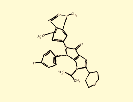 Cc1cc(N2C(=O)c3nc(C4CCOCC4)n(C(C)C)c3[C@H]2c2ccc(Cl)cc2)cc2c1nnn2C